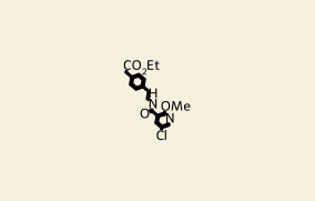 CCOC(=O)Cc1ccc(CCNC(=O)c2cc(Cl)cnc2OC)cc1